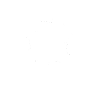 [C]1=C/C=C\C/C=C/C=C\CCC/1